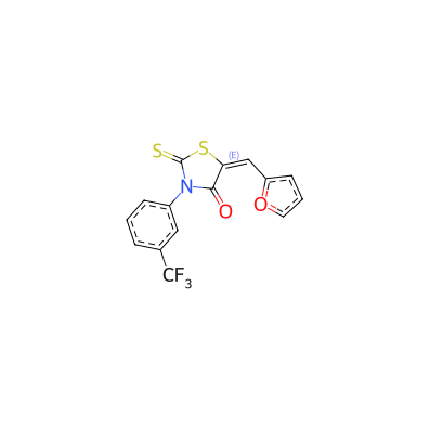 O=C1/C(=C\c2ccco2)SC(=S)N1c1cccc(C(F)(F)F)c1